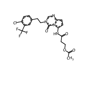 CC(=O)OCCC(=O)Nc1ccc2ncn(CCc3ccc(Cl)c(C(F)(F)F)c3)c(=O)n12